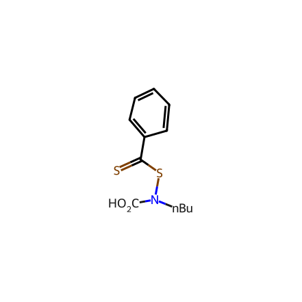 CCCCN(SC(=S)c1ccccc1)C(=O)O